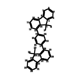 CC1(C)c2ccccc2-c2cccc(-c3ccc(-c4cccc5c4C(C)(C)c4ccccc4-5)cc3)c21